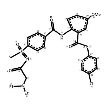 CCN(CC)CC(=O)N=S(C)(=O)c1ccc(C(=O)Nc2ccc(OC)cc2C(=O)Nc2ccc(Cl)cn2)cc1